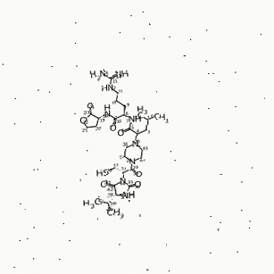 CC(C)CC(C(=O)N[C@H](CCCNC(=N)N)C(=O)NC1CCOC1=O)N1CCN(C(=O)[C@@H](CS)N2C(=O)N[C@H](C(C)C)C2=O)CC1